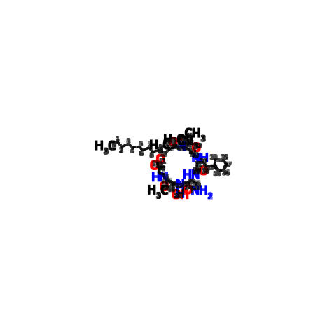 CCCCCCCCCC[C@H]1OC(=O)CNC(=O)[C@H]([C@H](C)O)NC(=O)[C@H](CN)NC(=O)[C@H](CCc2ccccc2)NC(=O)[C@H](CC(C)C)N(C)C(=O)[C@@H]1C